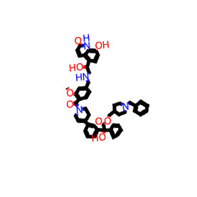 COc1cc(CNCC(O)c2ccc(O)c3[nH]c(=O)ccc23)ccc1C(=O)N1CC=C(c2cccc(C(O)(C(=O)OCC3CCN(Cc4ccccc4)CC3)c3ccccc3)c2)CC1